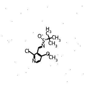 COc1ccnc(Cl)c1C=N[S@@+]([O-])C(C)(C)C